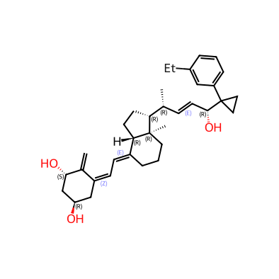 C=C1/C(=C\C=C2/CCC[C@]3(C)[C@@H]([C@H](C)/C=C/[C@@H](O)C4(c5cccc(CC)c5)CC4)CC[C@@H]23)C[C@@H](O)C[C@@H]1O